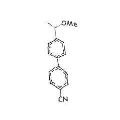 COC(C)c1ccc(-c2ccc(C#N)cc2)cc1